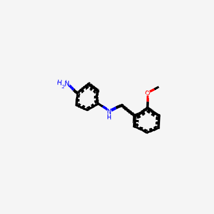 COc1ccccc1CNc1ccc(N)cc1